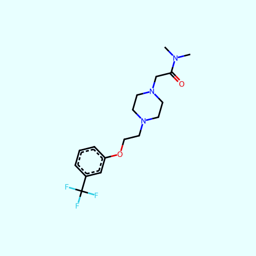 CN(C)C(=O)CN1CCN(CCOc2cccc(C(F)(F)F)c2)CC1